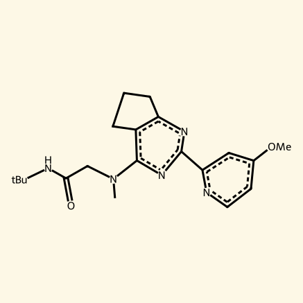 COc1ccnc(-c2nc3c(c(N(C)CC(=O)NC(C)(C)C)n2)CCC3)c1